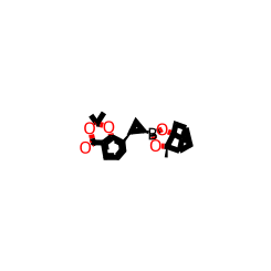 CC1(C)OC(=O)c2cccc([C@H]3C[C@H]3B3OC45CC6CC(C64C)[C@]5(C)O3)c2O1